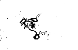 CC(c1ccccn1)N(CCc1ccccc1OC(F)(F)F)S(=O)(=O)c1ccc(Cl)cc1F